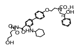 O=C(NS(=O)(=O)CCCO)c1ccc(-c2ccc(OCCN(C[C@@H](O)c3ccccc3)C(=O)O)cc2)cc1NC1CCCCC1